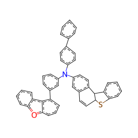 C1=CC2Sc3ccccc3C2c2ccc(N(c3ccc(-c4ccccc4)cc3)c3cccc(-c4cccc5oc6ccccc6c45)c3)cc21